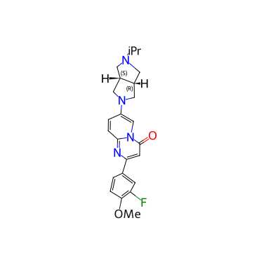 COc1ccc(-c2cc(=O)n3cc(N4C[C@@H]5CN(C(C)C)C[C@@H]5C4)ccc3n2)cc1F